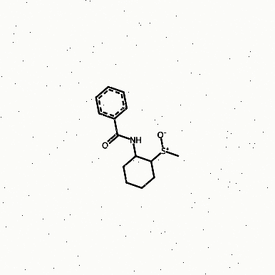 C[S+]([O-])C1CCCCC1NC(=O)c1ccccc1